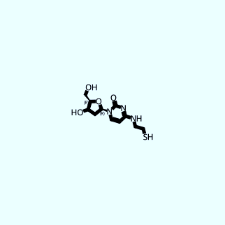 O=c1nc(NCCS)ccn1[C@H]1CC(O)[C@@H](CO)O1